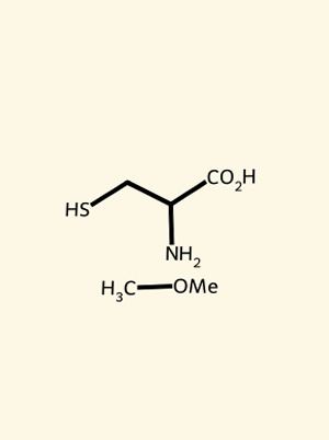 COC.NC(CS)C(=O)O